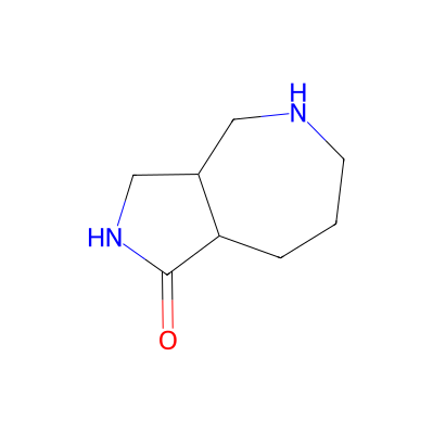 O=C1NCC2CNCCCC12